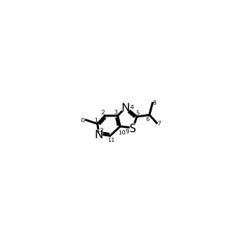 Cc1cc2nc(C(C)C)sc2cn1